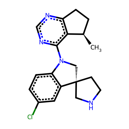 C[C@@H]1CCc2ncnc(N3C[C@@]4(CCNC4)c4cc(Cl)ccc43)c21